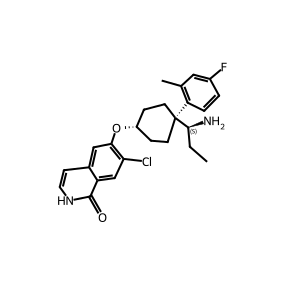 CC[C@H](N)[C@]1(c2ccc(F)cc2C)CC[C@@H](Oc2cc3cc[nH]c(=O)c3cc2Cl)CC1